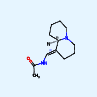 CC(=O)N/C=C1\CCCN2CCCC[C@H]12